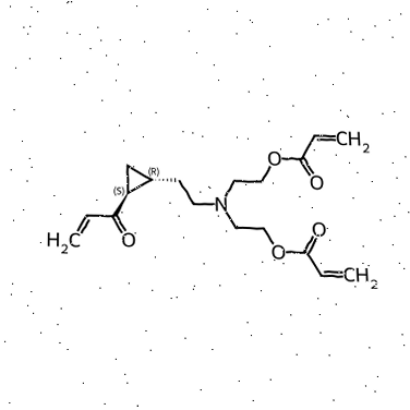 C=CC(=O)OCCN(CCOC(=O)C=C)CC[C@H]1C[C@@H]1C(=O)C=C